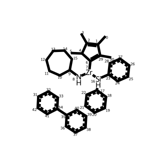 CC1=C(C)C(C)[C]([Zr]([NH]C2CCCCCC2)[SiH](c2ccccc2)c2ccccc2)=C1C.c1ccc(-c2ccccc2)cc1